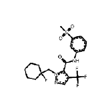 CS(=O)(=O)c1cccc(NC(=O)c2c(C(F)(F)F)cnn2CC2(F)CCCCC2)c1